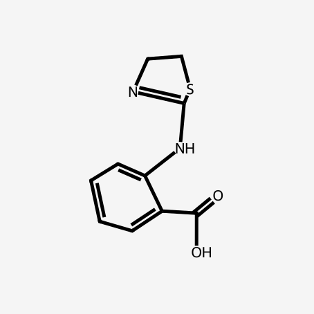 O=C(O)c1ccccc1NC1=NCCS1